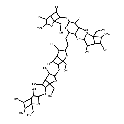 COC1OC2(CO)C(OC3OC(COC4OC5(CO)C(OC6OC7(CO)C(OC8OC9(CO)C(OC)C(O)C9C8O)C(O)C7C6O)C(O)C5C4O)C(OC4OC5(CO)C(OC)C(O)C5C4O)C(O)C3O)C(O)C2C1O